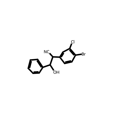 N#CC(c1ccc(Br)c(Cl)c1)C(O)c1ccccc1